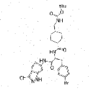 CC(C)(C)OC(=O)NC[C@H]1CC[C@H](C(=O)NC(Cc2ccc(Br)cc2)C(=O)Nc2ccc3c(Cl)n[nH]c3c2)CC1